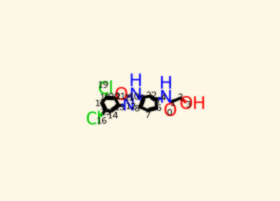 O=C(CO)Nc1cccc(Nc2nc3cc(Cl)cc(Cl)c3o2)c1